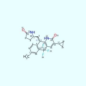 Cc1ccc(/C(=C\[C@H]2CCC(=O)N2)c2ccc(C3CC3)c(=O)[nH]2)c(C(F)(F)F)c1